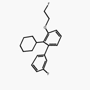 FCCOc1cccc(-c2cccc(F)c2)c1C1CCCCC1